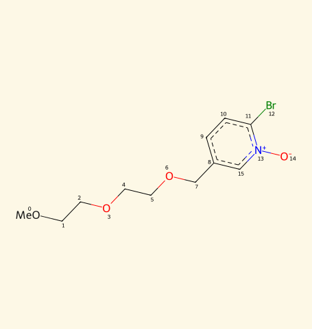 COCCOCCOCc1ccc(Br)[n+]([O-])c1